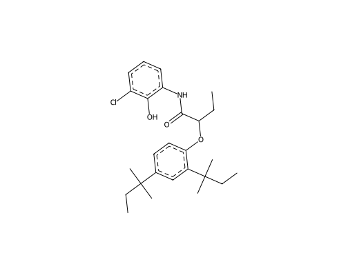 CCC(Oc1ccc(C(C)(C)CC)cc1C(C)(C)CC)C(=O)Nc1cccc(Cl)c1O